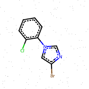 Clc1ccccc1-n1cnc(Br)c1